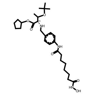 CC(OC(C)(C)C)[C@H](NCc1ccc(NC(=O)CCCCCCC(=O)NO)cc1)C(=O)OC1CCCC1